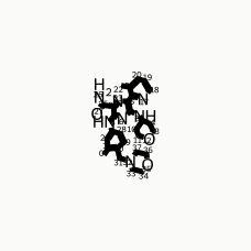 Cc1cc(Nc2nc(NC3CCOCC3)c(-c3ncccc3C)nc2C(N)=O)ccc1CN1CCOCC1